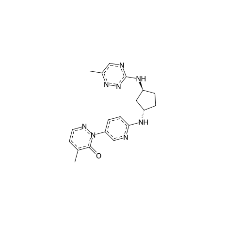 Cc1cnc(N[C@H]2CC[C@H](Nc3ccc(-n4nccc(C)c4=O)cn3)C2)nn1